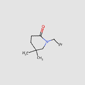 CC(C)CN1CC(C)(C)CCC1=O